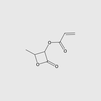 C=CC(=O)OC1C(=O)OC1C